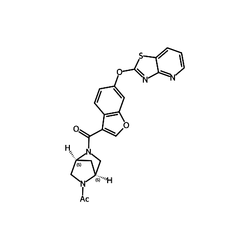 CC(=O)N1C[C@@H]2C[C@H]1CN2C(=O)c1coc2cc(Oc3nc4ncccc4s3)ccc12